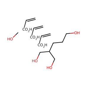 C=CC(=O)O.C=CC(=O)O.C=CC(=O)O.CO.OCCCC(CO)CO